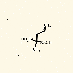 C=CCC(C)(C(=O)O)C(=O)O